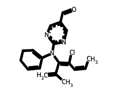 C=C(C)/C(=C(Cl)\C=C/C)N(C1=CCCC=C1)c1ncc(C=O)cn1